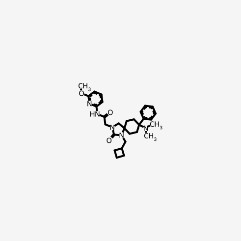 COc1cccc(NC(=O)CN2CC3(CCC(c4ccccc4)(N(C)C)CC3)N(CC3CCC3)C2=O)n1